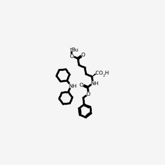 C1CCC(NC2CCCCC2)CC1.CC(C)(C)OC(=O)CCC[C@H](NC(=O)OCc1ccccc1)C(=O)O